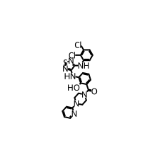 O=C(c1cccc(Nc2nsnc2Nc2cccc(Cl)c2Cl)c1O)N1CCN(c2ccccn2)CC1